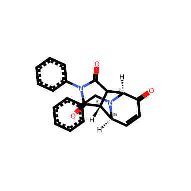 O=C1C=C[C@H]2[C@@H]3C(=O)N(c4ccccc4)C(=O)C3[C@@H]1N2Cc1ccccc1